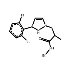 CCNC(=O)C(C)SN1C=CN(c2c(CC)cccc2CC)N1